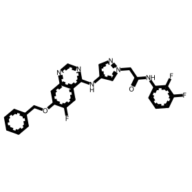 O=C(Cn1cc(Nc2ncnc3cc(OCc4ccccc4)c(F)cc23)cn1)Nc1cccc(F)c1F